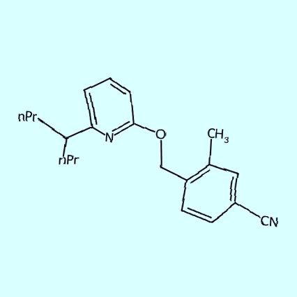 CCCC(CCC)c1cccc(OCc2ccc(C#N)cc2C)n1